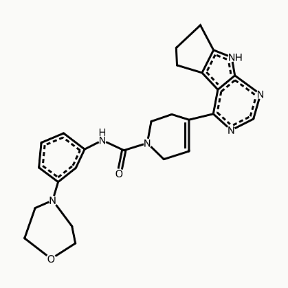 O=C(Nc1cccc(N2CCOCC2)c1)N1CC=C(c2ncnc3[nH]c4c(c23)CCC4)CC1